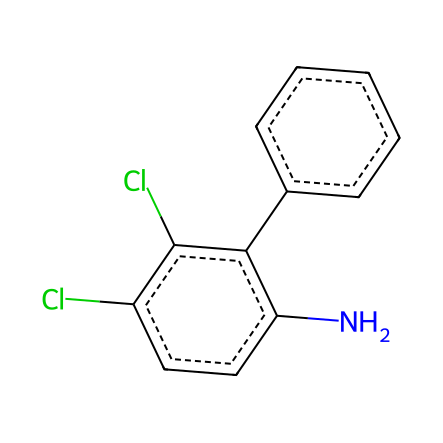 Nc1ccc(Cl)c(Cl)c1-c1ccccc1